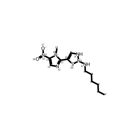 CCCCCCNN1NC=C(c2ncc([N+](=O)[O-])n2C)S1